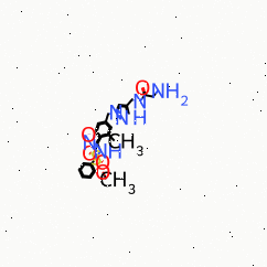 COc1ccccc1S(=O)(=O)Nc1noc2cc(Cn3cc(CNC(=O)CN)cn3)cc(C)c12